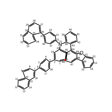 c1cc(-c2ccc(-c3ccc4ccccc4c3)cc2)cc(N(c2ccc(-c3cccc4ccccc34)cc2)c2ccccc2-c2cccc3c2oc2ccccc23)c1